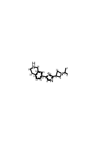 CC(C)N1CC(c2ncc(-c3ccc4c(c3)CNCC4)s2)C1